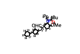 COc1ccc(C(C=O)Cc2ccc(-c3ccccc3)cc2)cc1N(CC(C)C)C(=O)C(C)(C)C